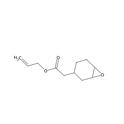 C=CCOC(=O)CC1CCC2OC2C1